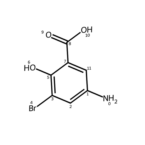 Nc1cc(Br)c(O)c(C(=O)O)c1